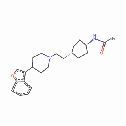 CCCC(=O)N[C@H]1CC[C@H](CCN2CCC(c3coc4ccccc34)CC2)CC1